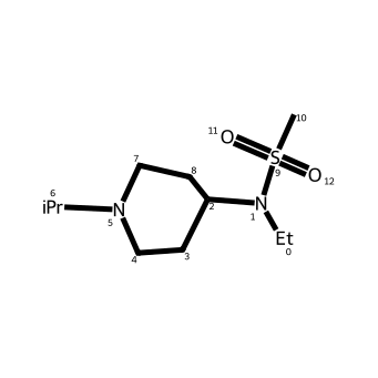 CCN(C1CCN(C(C)C)CC1)S(C)(=O)=O